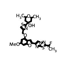 COc1cc(OCc2csc(C3(O)CC(C)OC(C)C3)n2)c2cc(-c3cn4nc([C@H](C)F)sc4n3)oc2c1